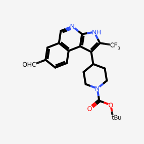 CC(C)(C)OC(=O)N1CCC(c2c(C(F)(F)F)[nH]c3ncc4cc(C=O)ccc4c23)CC1